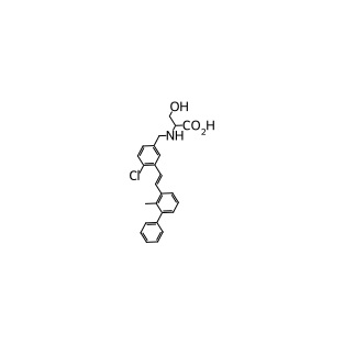 Cc1c(C=Cc2cc(CNC(CO)C(=O)O)ccc2Cl)cccc1-c1ccccc1